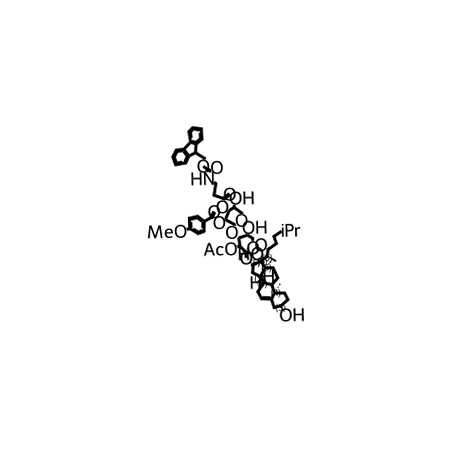 COc1ccc(C(=O)OC2C(OC3C(O)COC(O[C@H]4C[C@H]5[C@@H]6CC=C7C[C@@H](O)CC[C@]7(C)C6CC[C@]5(C)[C@@]4(O)[C@H](C)C(=O)CCC(C)C)C3OC(C)=O)OCC(O)C2OC(=O)CCNC(=O)OCC2c3ccccc3-c3ccccc32)cc1